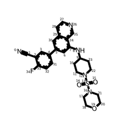 N#Cc1cc(-c2cc(NC3CCN(S(=O)(=O)N4CCOCC4)CC3)c3cnccc3c2)ccc1F